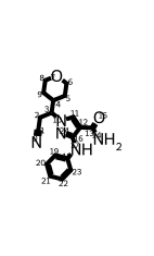 N#CCC(C1CCOCC1)n1cc(C(N)=O)c(Nc2ccccc2)n1